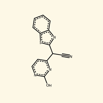 N#CC(c1ccnc(O)n1)c1nc2ccccc2s1